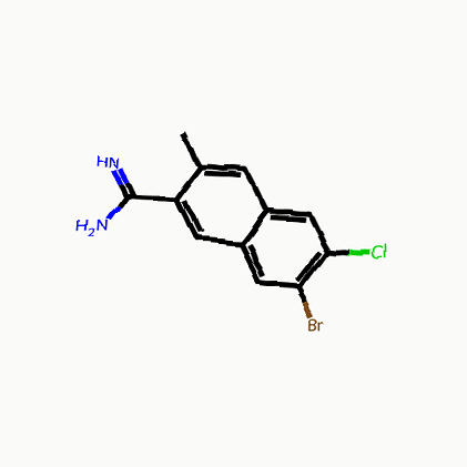 Cc1cc2cc(Cl)c(Br)cc2cc1C(=N)N